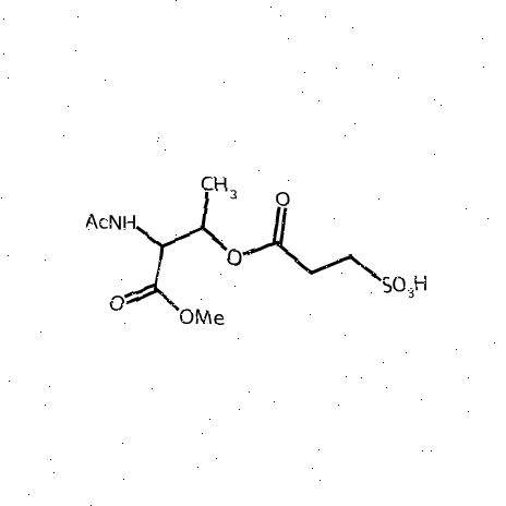 COC(=O)C(NC(C)=O)C(C)OC(=O)CCS(=O)(=O)O